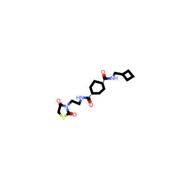 O=C1CSC(=O)N1CCNC(=O)[C@H]1CC[C@@H](C(=O)NCC2CCC2)CC1